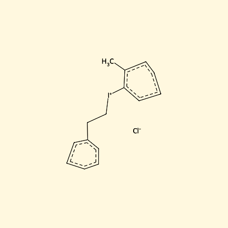 Cc1ccccc1[I+]CCc1ccccc1.[Cl-]